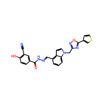 N#Cc1cc(C(=O)N/N=C/c2cccc3c2ccn3Cc2noc(-c3ccsc3)n2)ccc1O